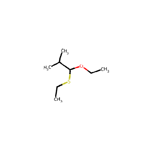 CCOC(SCC)C(C)C